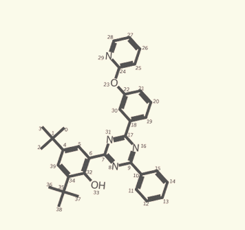 CC(C)(C)c1cc(-c2nc(-c3ccccc3)nc(-c3cccc(Oc4ccccn4)c3)n2)c(O)c(C(C)(C)C)c1